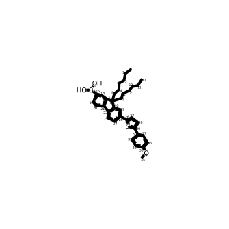 CCCCCCC1(CCCCCC)c2cc(B(O)O)ccc2-c2ccc(-c3ccc(-c4ccc(OC)cc4)s3)cc21